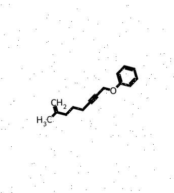 C=C(C)CCCC#CCOc1ccccc1